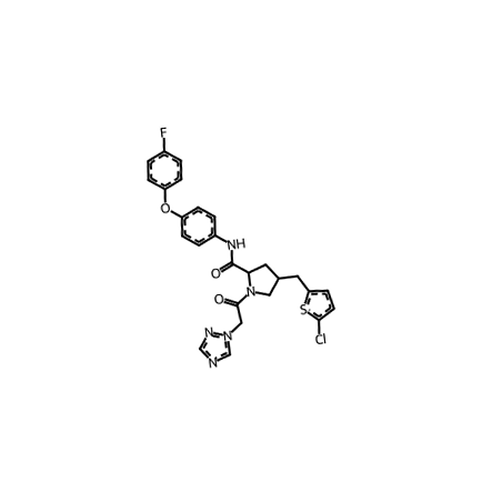 O=C(Nc1ccc(Oc2ccc(F)cc2)cc1)C1CC(Cc2ccc(Cl)s2)CN1C(=O)Cn1cncn1